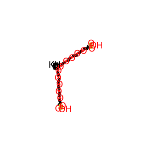 O=S(=O)(O)CCCOCCOCCOCCOCCOc1ccccc1OCCOCCOCCOCCOCCCS(=O)(=O)O.[KH]